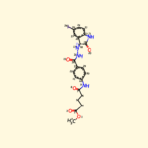 COC(=O)CCCC(=O)Nc1ccc(C(=O)N/N=C2\C(=O)Nc3ccc(I)cc32)cc1